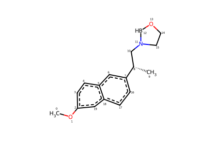 COc1ccc2cc([C@@H](C)CN3BOCC3)ccc2c1